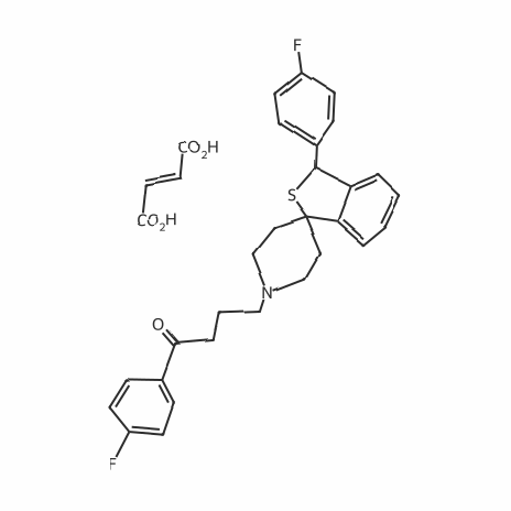 O=C(CCCN1CCC2(CC1)SC(c1ccc(F)cc1)c1ccccc12)c1ccc(F)cc1.O=C(O)C=CC(=O)O